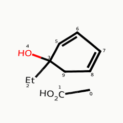 CC(=O)O.CCC1(O)C=CC=CC1